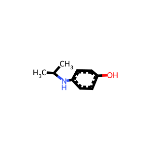 CC(C)Nc1ccc(O)cc1